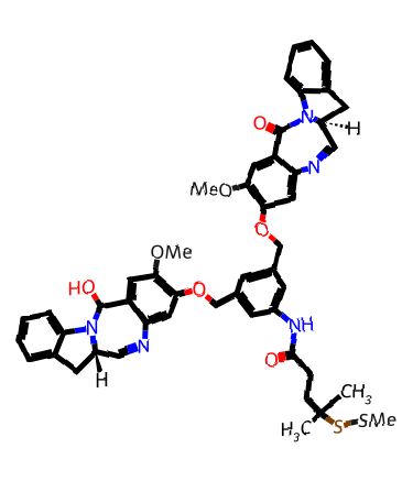 COc1cc2c(cc1OCc1cc(COc3cc4c(cc3OC)C(O)N3c5ccccc5C[C@H]3C=N4)cc(NC(=O)CCC(C)(C)SSC)c1)N=C[C@@H]1Cc3ccccc3N1C2=O